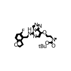 CN(CCOc1cnc(NCc2c(F)ccc3c2CCO3)n2cnnc12)C(=O)OC(C)(C)C